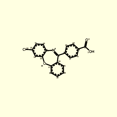 O=C(O)c1ccc(C2=Nc3ccc(Cl)cc3Oc3ccccc32)cc1